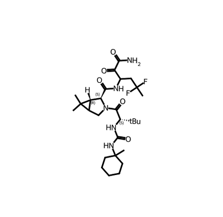 CC(F)(F)CC(NC(=O)[C@@H]1[C@@H]2C(CN1C(=O)[C@@H](NC(=O)NC1(C)CCCCC1)C(C)(C)C)C2(C)C)C(=O)C(N)=O